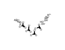 O=C([O-])[O-].O=C([O-])[O-].O=C([O-])[O-].O=C([O-])[O-].[Al+3].[Al+3].[Al+3].[Na+].[Na+].[Na+].[OH-].[OH-].[OH-].[OH-]